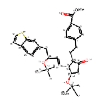 COC(=O)c1ccc(CC[C@H]2C(=O)C[C@@H](O[Si](C)(C)C(C)(C)C)[C@@H]2C=CC(Cc2ccc3ccsc3c2)O[Si](C)(C)C(C)(C)C)cc1